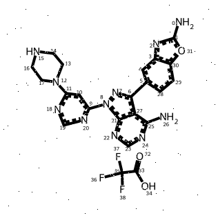 Nc1nc2cc(-c3nn(-c4cc(N5CCNCC5)ncn4)c4ncnc(N)c34)ccc2o1.O=C(O)C(F)(F)F